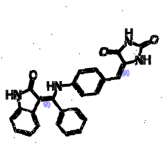 O=C1NC(=O)/C(=C\c2ccc(N/C(=C3\C(=O)Nc4ccccc43)c3ccccc3)cc2)N1